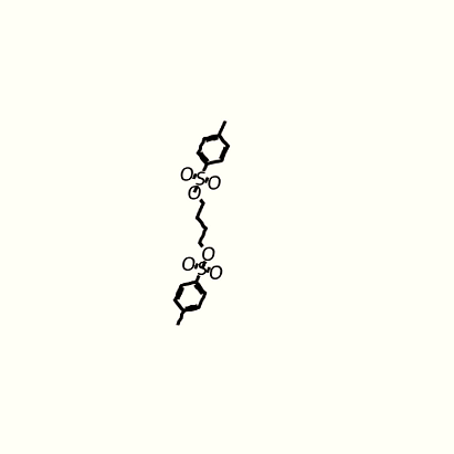 Cc1ccc(S(=O)(=O)OCCCCOS(=O)(=O)c2ccc(C)cc2)cc1